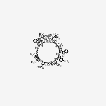 CC(=O)N[C@@H](CC(=O)O)C(=O)N[C@H]1CSSC[C@@H](C(=O)N[C@H](C(O)O)[C@@H](C)O)NC(=O)[C@H](Cc2c[nH]c3ccccc23)NCOC[C@H](C(C)C)NC(=O)[C@H](CC(C)C)NC(=O)[C@H](CCC(=O)O)NC(=O)CNC(=O)[C@H](CC(C)C)NC(=O)[C@H](Cc2cccc(C)c2)NC(=O)[C@H](Cc2c[nH]c3ccccc23)NC(=O)[C@H](C)NC1=O